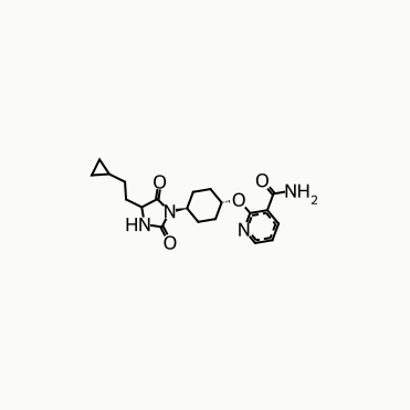 NC(=O)c1cccnc1O[C@H]1CC[C@H](N2C(=O)NC(CCC3CC3)C2=O)CC1